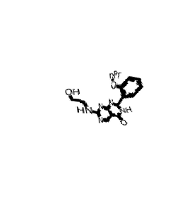 CCCOc1ccccc1-c1nc2nc(NCCO)ncc2c(=O)[nH]1